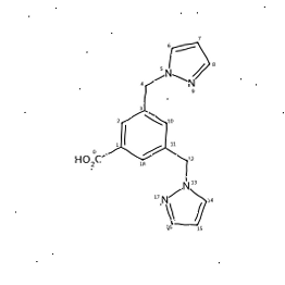 O=C(O)c1cc(Cn2cccn2)cc(Cn2cccn2)c1